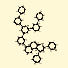 c1ccc(-c2cccc(-c3cc(-c4cccc(-c5cccc6c5ccc5nc(-c7ccccc7)cc(-c7ccccc7)c56)c4)cc(-c4cccc(-c5ccccc5)c4)n3)c2)cc1